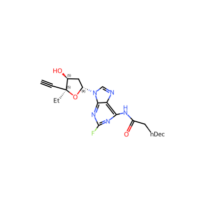 C#C[C@]1(CC)O[C@@H](n2cnc3c(NC(=O)CCCCCCCCCCC)nc(F)nc32)C[C@@H]1O